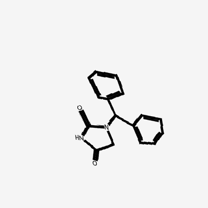 O=C1CN(C(c2ccccc2)c2ccccc2)C(=O)N1